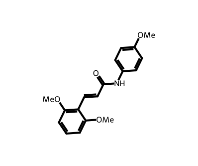 COc1ccc(NC(=O)/C=C/c2c(OC)cccc2OC)cc1